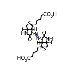 O=C(O)CCCC[C@H]1SC[C@H]2NC(=O)N(/N=N/N3C(=O)N[C@@H]4CS[C@H](CCCCC(=O)O)[C@@H]43)[C@H]21